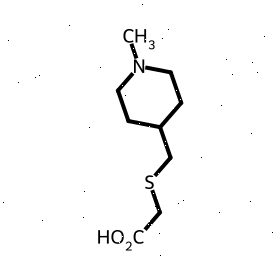 CN1CCC(CSCC(=O)O)CC1